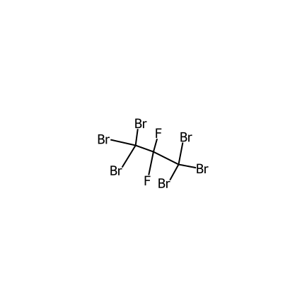 FC(F)(C(Br)(Br)Br)C(Br)(Br)Br